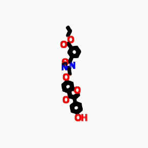 CCCOC(=O)c1cccc(-c2nc(COc3ccc4c(=O)c(-c5ccc(O)cc5)coc4c3)no2)c1